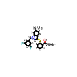 CNc1ccc2c(Sc3ccccc3C(=O)OC)cn(Cc3cc(F)cc(F)c3)c2c1